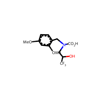 COc1ccc(CN(CC(O)C(F)(F)F)C(=O)O)c(OC)c1